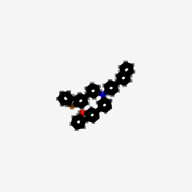 c1cc(-c2ccc3c(c2)oc2ccccc23)cc(N(c2ccc(-c3ccc4ccccc4c3)cc2)c2cccc(-c3ccc4sc5ccccc5c4c3)c2)c1